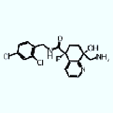 NC[C@@]1(O)CC[C@@](F)(C(=O)NCc2ccc(Cl)cc2Cl)c2cccnc21